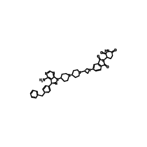 Nc1ncnc2c1c(-c1ccc(Cc3ccccc3)cc1)nn2C1CCN(C2CCN(C3CN(c4ccc5c(c4)C(=O)N(C4CCC(=O)NC4=O)C5=O)C3)CC2)CC1